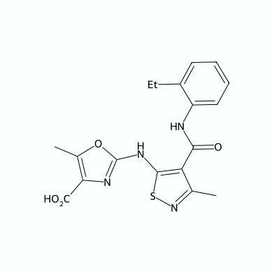 CCc1ccccc1NC(=O)c1c(C)nsc1Nc1nc(C(=O)O)c(C)o1